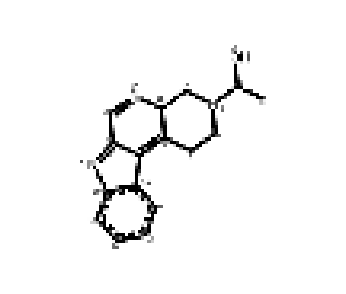 CC(O)N1CCC2=C3C(=Nc4ccccc43)C=NC2C1